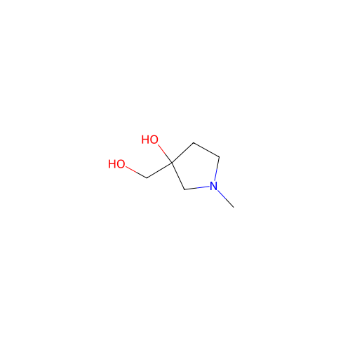 CN1CCC(O)(CO)C1